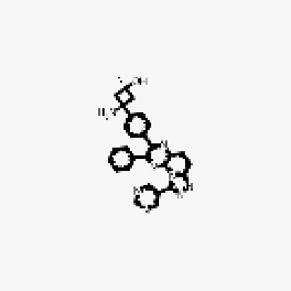 C[C@]1(O)C[C@](N)(c2ccc(-c3nc4ccc5nnc(-c6cncnc6)n5c4nc3-c3ccccc3)cc2)C1